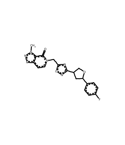 Cn1nnc2ccn(Cc3nc(C4COC(c5ccc(F)cc5)C4)no3)c(=O)c21